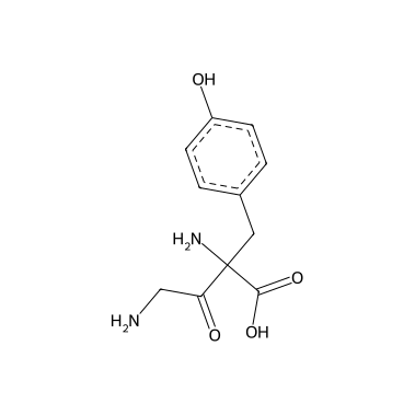 NCC(=O)C(N)(Cc1ccc(O)cc1)C(=O)O